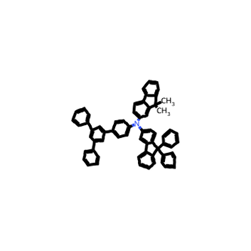 CC1(C)c2ccccc2-c2ccc(N(c3ccc(-c4cc(-c5ccccc5)cc(-c5ccccc5)c4)cc3)c3ccc4c(c3)-c3ccccc3C4(c3ccccc3)c3ccccc3)cc21